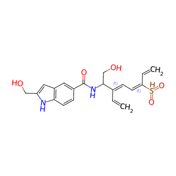 C=C/C(=C\C=C(/C=C)[SH](=O)=O)C(CO)NC(=O)c1ccc2[nH]c(CO)cc2c1